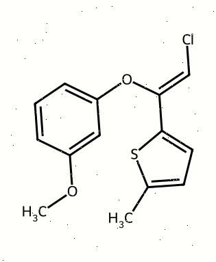 COc1cccc(O/C(=C\Cl)c2ccc(C)s2)c1